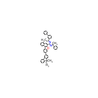 C=C/C(=N\C(=N/C(=C)c1ccccc1)c1cc2ccccc2c2c1oc1cc(-c3ccc4c(c3)-c3ccccc3C4(C)C)ccc12)c1cccc(-c2ccccc2)c1